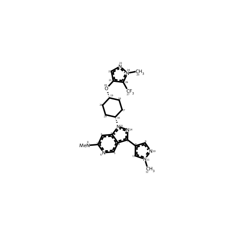 CNc1cc2c(cn1)c(-c1cnn(C)c1)nn2[C@H]1CC[C@@H](Oc2cnn(C)c2C(F)(F)F)CC1